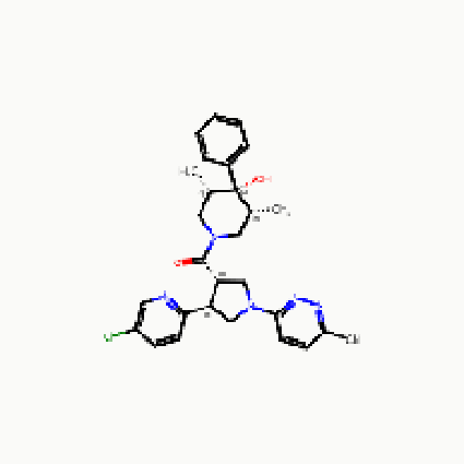 C[C@@H]1CN(C(=O)[C@@H]2CN(c3ccc(C#N)nn3)C[C@H]2c2ccc(Cl)cn2)C[C@H](C)[C@@]1(O)c1ccccc1